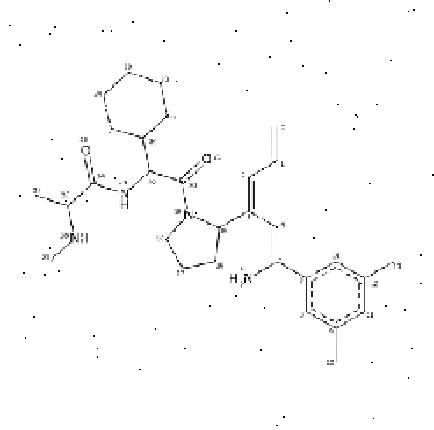 C=C/C=C(\C=C(/N)c1cc(C)cc(C)c1)C1CCCN1C(=O)C(NC(=O)C(C)NC)C1CCCCC1